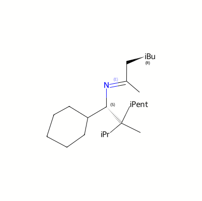 CCCC(C)C(C)(C(C)C)[C@@H](/N=C(\C)C[C@H](C)CC)C1CCCCC1